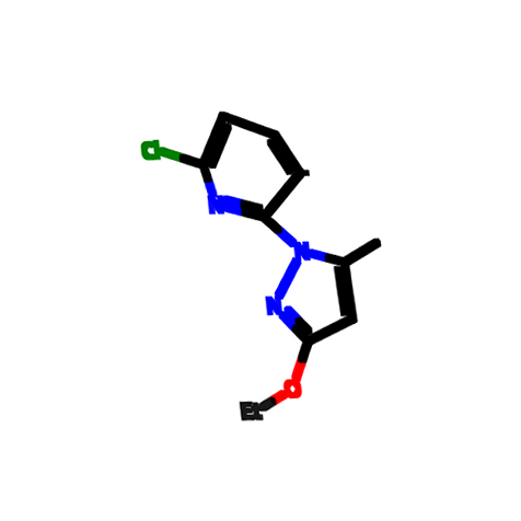 CCOc1cc(C)n(-c2[c]ccc(Cl)n2)n1